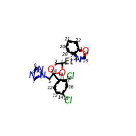 CCC1COC(Cn2cncn2)(c2ccc(Cl)cc2Cl)O1.c1ccc2ocnc2c1